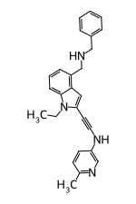 CCn1c(C#CNc2ccc(C)nc2)cc2c(CNCc3ccccc3)cccc21